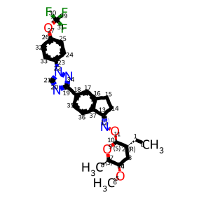 CC[C@@H]1C[C@@H](OC)[C@H](C)O[C@H]1O/N=C1\CCc2cc(-c3ncn(-c4ccc(OC(F)(F)F)cc4)n3)ccc21